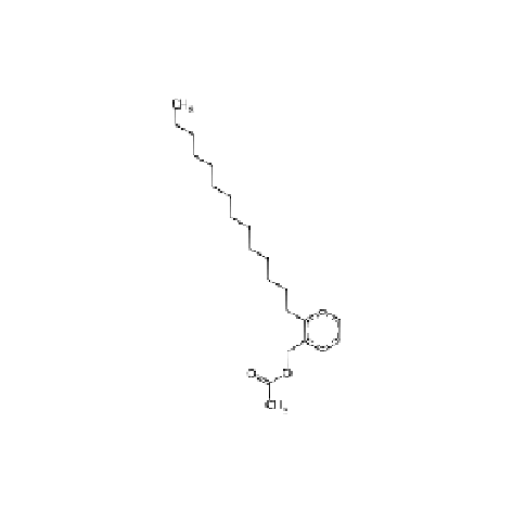 CCCCCCCCCCCCCCc1ccccc1COC(C)=O